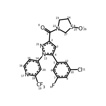 O=C(c1cc(-c2cc(F)cc(Cl)c2)n(-c2ccnc(C(F)(F)F)c2)n1)N1CC[S+]([O-])C1